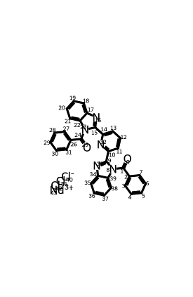 O=C(c1ccccc1)n1c(-c2cccc(-c3nc4ccccc4n3C(=O)c3ccccc3)n2)nc2ccccc21.[Cl-].[Cl-].[Cl-].[Nd+3]